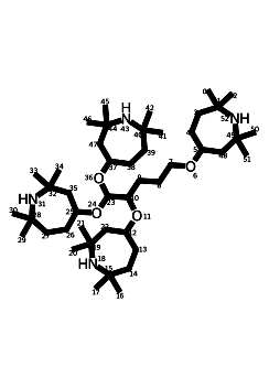 CC1(C)CCC(OCCCC(OC2CCC(C)(C)NC(C)(C)C2)C(OC2CCC(C)(C)NC(C)(C)C2)OC2CCC(C)(C)NC(C)(C)C2)CC(C)(C)N1